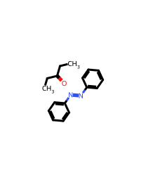 CCC(=O)CC.c1ccc(N=Nc2ccccc2)cc1